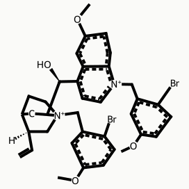 C=C[C@@H]1C[N+]2(Cc3cc(OC)ccc3Br)CCC1CC2[C@@H](O)c1cc[n+](Cc2cc(OC)ccc2Br)c2ccc(OC)cc12